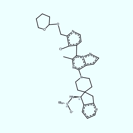 Cc1nc(N2CCC3(CC2)Cc2ncccc2[C@H]3N[S@+]([O-])C(C)(C)C)c2ccnn2c1-c1ccnc(COC2CCCCO2)c1Cl